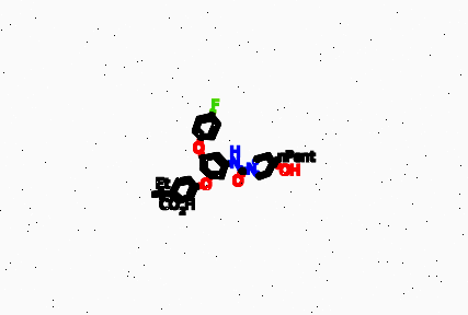 CCCCCC1(O)CCN(C(=O)Nc2cc(Oc3ccc(F)cc3)cc(Oc3ccc(C(C)(CC)C(=O)O)cc3)c2)CC1